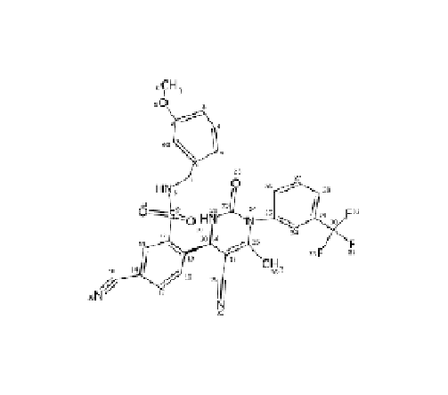 COc1cccc(CNS(=O)(=O)c2cc(C#N)ccc2[C@H]2NC(=O)N(c3cccc(C(F)(F)F)c3)C(C)=C2C#N)c1